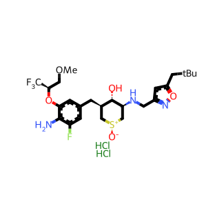 COC[C@@H](Oc1cc(C[C@@H]2C[S@@+]([O-])C[C@H](NCc3cc(CC(C)(C)C)on3)[C@H]2O)cc(F)c1N)C(F)(F)F.Cl.Cl